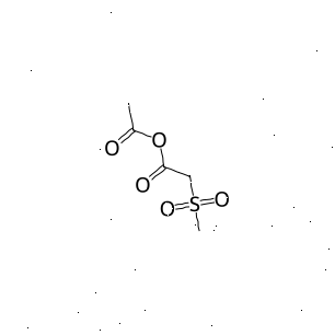 CC(=O)OC(=O)CS(C)(=O)=O